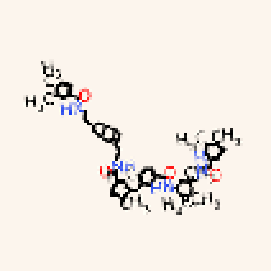 Cc1ccc(C(=O)NCCC2CC3C4CC(CCNC(=O)c5ccc(C)c(Cc6cc(C(=O)NC7CC(C)(C)CC(C)(CNC(=O)c8ccc(C)c(C)c8)C7)ccc6C)c5)C(C4)C3C2)cc1C